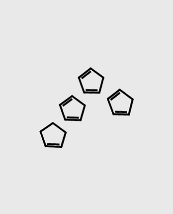 C1=CCC=C1.C1=CCC=C1.C1=CCC=C1.C1=CCCC1